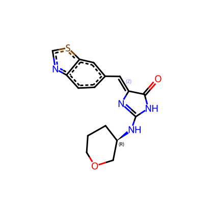 O=C1NC(N[C@@H]2CCCOC2)=N/C1=C\c1ccc2ncsc2c1